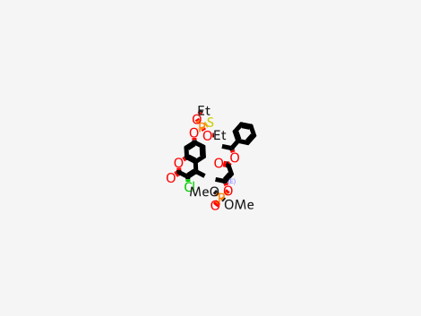 CCOP(=S)(OCC)Oc1ccc2c(C)c(Cl)c(=O)oc2c1.COP(=O)(OC)O/C(C)=C/C(=O)OC(C)c1ccccc1